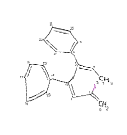 C=C(I)/C=C(\C(=C/C)c1ccccc1)c1ccccc1